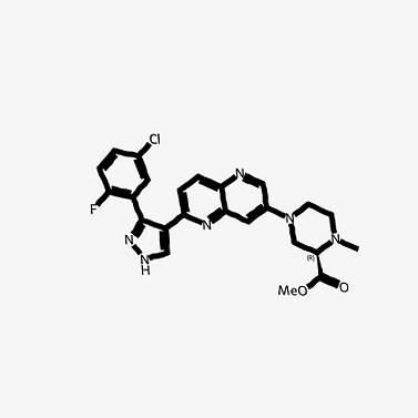 COC(=O)[C@H]1CN(c2cnc3ccc(-c4c[nH]nc4-c4cc(Cl)ccc4F)nc3c2)CCN1C